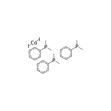 CP(C)c1ccccc1.CP(C)c1ccccc1.CP(C)c1ccccc1.[I][Co][I]